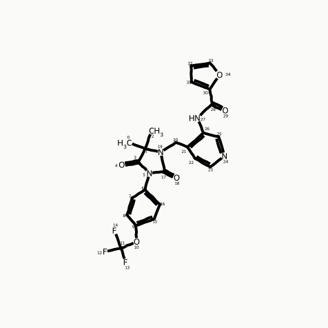 CC1(C)C(=O)N(c2ccc(OC(F)(F)F)cc2)C(=O)N1Cc1ccncc1NC(=O)c1ccco1